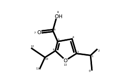 CC(C)c1cc(C(=O)O)c(C(C)C)o1